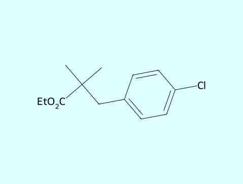 CCOC(=O)C(C)(C)Cc1ccc(Cl)cc1